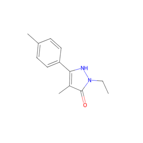 CCn1[nH]c(-c2ccc(C)cc2)c(C)c1=O